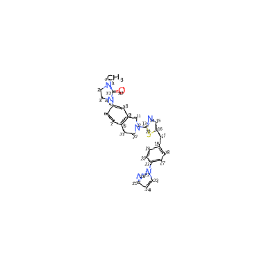 CN1CCN(c2ccc3c(c2)CN(c2ncc(Cc4ccc(-n5cccn5)cc4)s2)CC3)C1=O